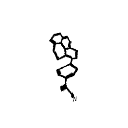 C=C(C#N)c1ccc(-c2ccc3ccc4cccc5ccc2c3c45)cc1